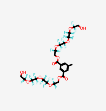 Cc1cc(C(=O)OCC(F)(F)OC(F)(F)C(F)(F)OC(F)(F)C(F)(F)OC(F)(F)CO)cc(C(=O)OCC(F)(F)OC(F)(F)C(F)(F)OC(F)(F)C(F)(F)OC(F)(F)CO)c1